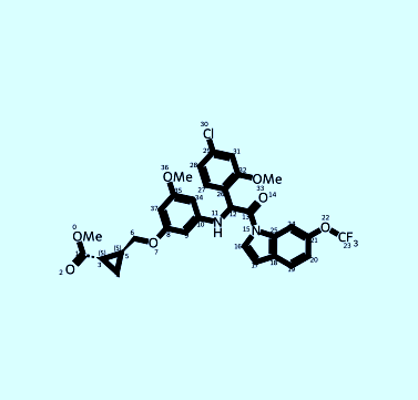 COC(=O)[C@H]1C[C@@H]1COc1cc(NC(C(=O)n2ccc3ccc(OC(F)(F)F)cc32)c2ccc(Cl)cc2OC)cc(OC)c1